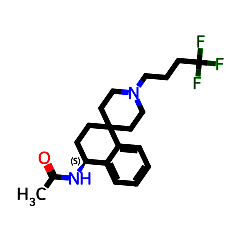 CC(=O)N[C@H]1CCC2(CCN(CCCC(F)(F)F)CC2)c2ccccc21